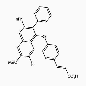 CCCc1cc2cc(OC)c(F)cc2c(Oc2ccc(C=CC(=O)O)cc2)c1-c1ccccc1